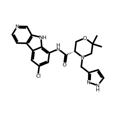 CC1(C)CN(Cc2cc[nH]n2)[C@H](C(=O)Nc2cc(Cl)cc3c2[nH]c2cnccc23)CO1